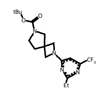 CCc1nc(N2CC3(CCN(C(=O)OC(C)(C)C)C3)C2)cc(C(F)(F)F)n1